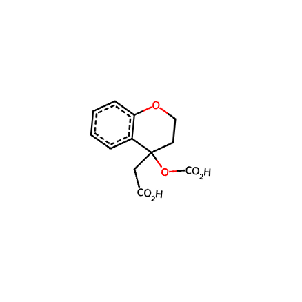 O=C(O)CC1(OC(=O)O)CCOc2ccccc21